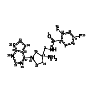 N[C@]1(CNC(=O)c2ccc(F)cc2F)CCN(c2ncnc3sccc23)C1